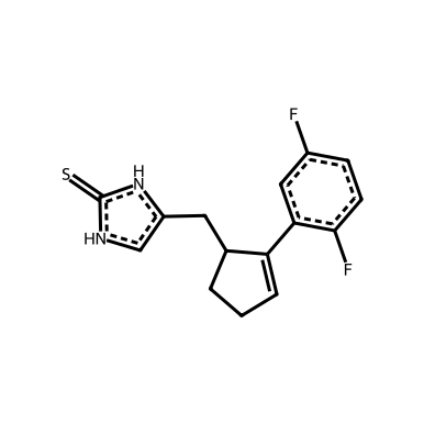 Fc1ccc(F)c(C2=CCCC2Cc2c[nH]c(=S)[nH]2)c1